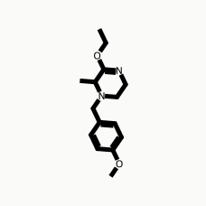 CCOC1=NCCN(Cc2ccc(OC)cc2)C1C